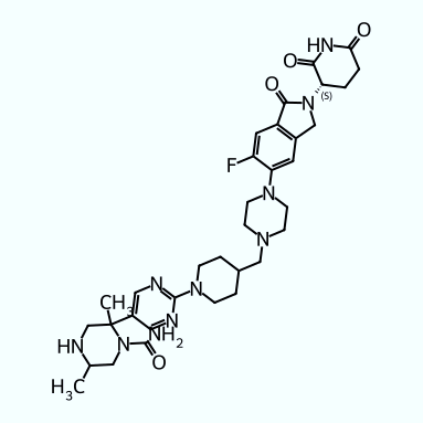 CC1CN(C(N)=O)C(C)(c2cnc(N3CCC(CN4CCN(c5cc6c(cc5F)C(=O)N([C@H]5CCC(=O)NC5=O)C6)CC4)CC3)nc2)CN1